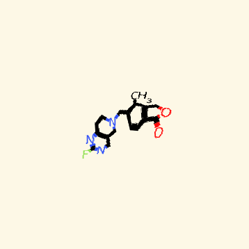 Cc1c(CN2CCc3nc(F)ncc3C2)ccc2c1COC2=O